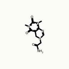 Cn1c2c(c(=O)n(C)c1=O)CN(CC(N)=O)C=N2